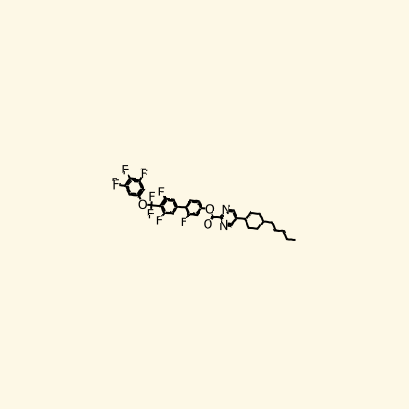 CCCCCC1CCC(c2cnc(C(=O)Oc3ccc(-c4cc(F)c(C(F)(F)Oc5cc(F)c(F)c(F)c5)c(F)c4)c(F)c3)nc2)CC1